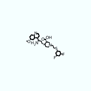 COc1ccc2nccc([C@@H](N)CC[C@@H]3CCN(CCSc4cc(F)cc(F)c4)C[C@@H]3C(=O)O)c2c1